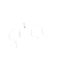 Cc1ccc(C(=O)N2CCC(C(C)C)CC2)cc1C